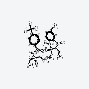 CCN([S+]([O-])c1cccc(C)c1)P(=O)(SN)SN.NSP(=O)(N[S+]([O-])c1ccc(C(Cl)(Cl)Cl)cc1)SN